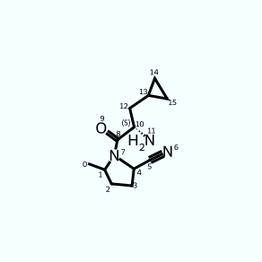 CC1CCC(C#N)N1C(=O)[C@@H](N)CC1CC1